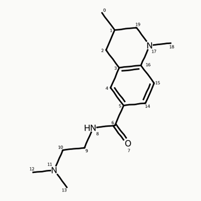 CC1Cc2cc(C(=O)NCCN(C)C)ccc2N(C)C1